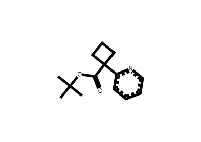 CC(C)(C)OC(=O)C1(c2ccccn2)CCC1